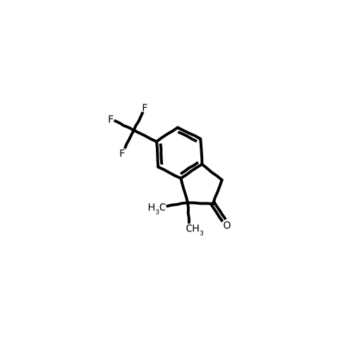 CC1(C)C(=O)Cc2ccc(C(F)(F)F)cc21